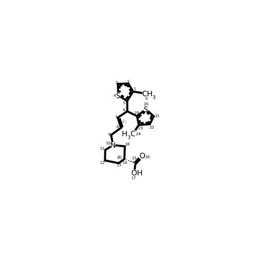 Cc1ccsc1C(/C=C/CN1CCC[C@@H](C(=O)O)C1)c1sccc1C